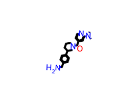 CN(C)c1cc(C(=O)N2CCCC(c3ccc(CN)cc3)C2)ccn1